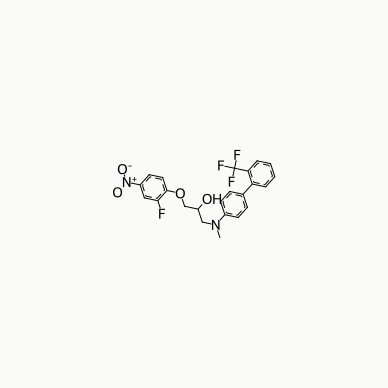 CN(CC(O)COc1ccc([N+](=O)[O-])cc1F)c1ccc(-c2ccccc2C(F)(F)F)cc1